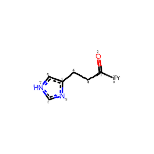 CC(C)C(=O)CCc1c[nH]cn1